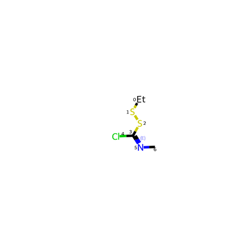 CCSS/C(Cl)=N\C